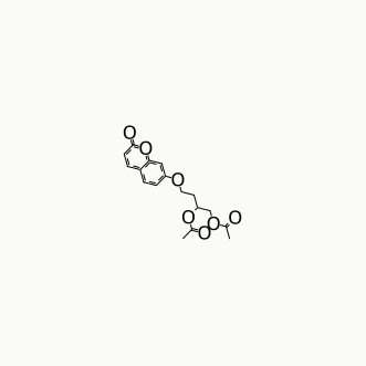 CC(=O)OCC(CCOc1ccc2ccc(=O)oc2c1)OC(C)=O